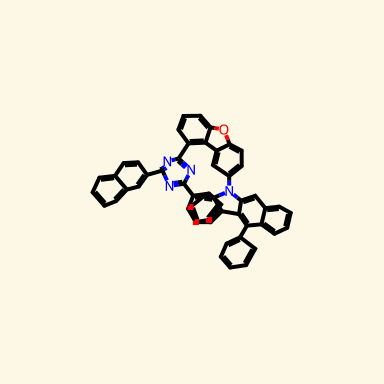 c1ccc(-c2nc(-c3ccc4ccccc4c3)nc(-c3cccc4oc5ccc(-n6c7ccccc7c7c(-c8ccccc8)c8ccccc8cc76)cc5c34)n2)cc1